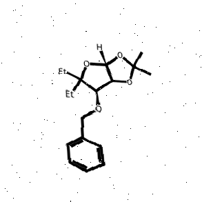 CCC1(CC)O[C@@H]2OC(C)(C)OC2[C@H]1OCc1ccccc1